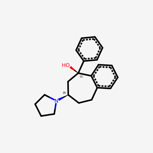 O[C@]1(c2ccccc2)C[C@H](N2CCCC2)CCc2ccccc21